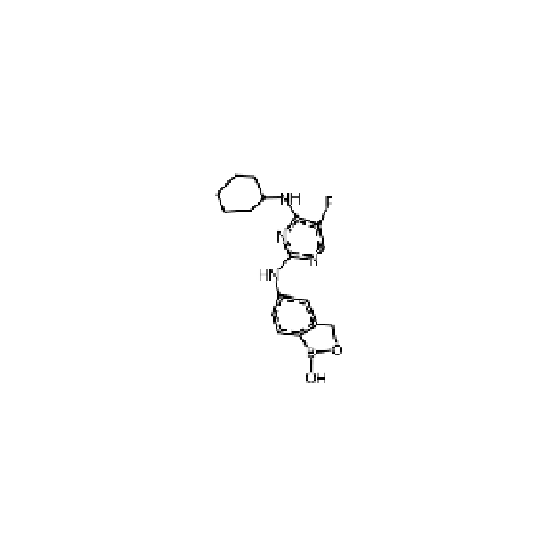 OB1OCc2cc(Nc3ncc(F)c(NC4CCCCC4)n3)ccc21